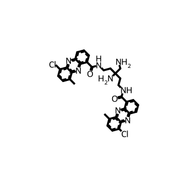 Cc1ccc(Cl)c2nc3cccc(C(=O)NCCC(N)(CN)CCNC(=O)c4cccc5nc6c(Cl)ccc(C)c6nc45)c3nc12